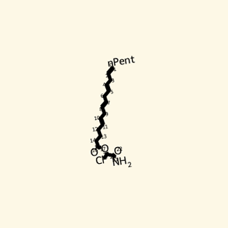 CCCCCC=CCC=CCC=CCC=CCCCC(=O)OC(Cl)C(N)=O